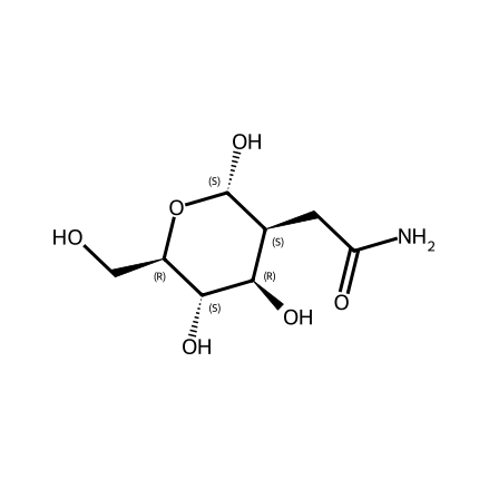 NC(=O)C[C@H]1[C@@H](O)[C@H](O)[C@@H](CO)O[C@@H]1O